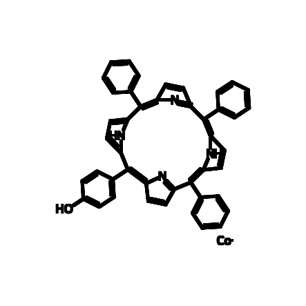 Oc1ccc(-c2c3nc(c(-c4ccccc4)c4ccc([nH]4)c(-c4ccccc4)c4nc(c(-c5ccccc5)c5ccc2[nH]5)C=C4)C=C3)cc1.[Co]